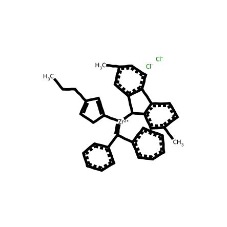 CCCC1=CC[C]([Zr+2](=[C](c2ccccc2)c2ccccc2)[CH]2c3cc(C)ccc3-c3ccc(C)cc32)=C1.[Cl-].[Cl-]